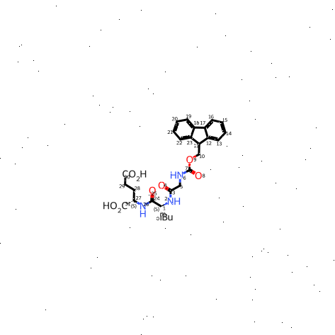 CC[C@H](C)[C@H](NC(=O)CNC(=O)OCC1c2ccccc2-c2ccccc21)C(=O)N[C@@H](CCC(=O)O)C(=O)O